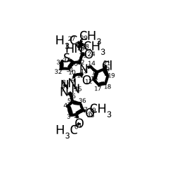 COc1ccc(-c2nnn(CC(=O)N(Cc3ccccc3Cl)C(C(=O)NC(C)(C)C)c3cccs3)n2)cc1OC